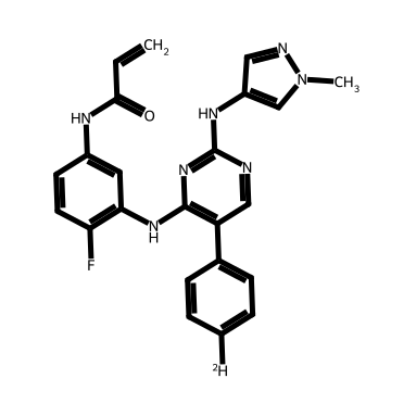 [2H]c1ccc(-c2cnc(Nc3cnn(C)c3)nc2Nc2cc(NC(=O)C=C)ccc2F)cc1